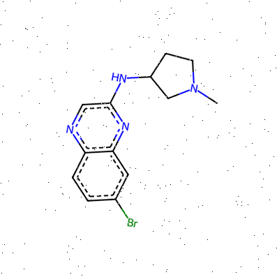 CN1CCC(Nc2cnc3ccc(Br)cc3n2)C1